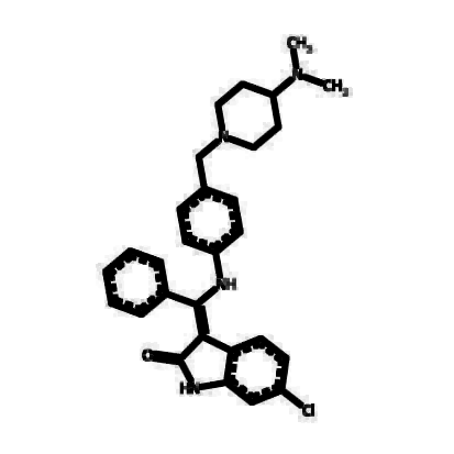 CN(C)C1CCN(Cc2ccc(NC(=C3C(=O)Nc4cc(Cl)ccc43)c3ccccc3)cc2)CC1